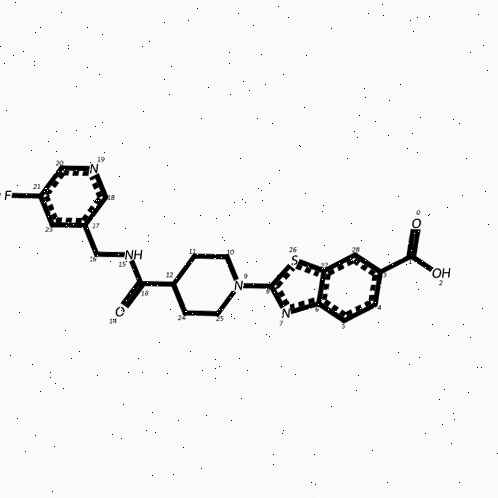 O=C(O)c1ccc2nc(N3CCC(C(=O)NCc4cncc(F)c4)CC3)sc2c1